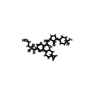 O=C(NC1CCN(C2CCC(F)(F)CC2)C1=O)c1ccc(NS(=O)(=O)CCO)nc1N1CCC2(CC1)CC2